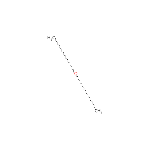 CCCCCCCCCCCCCCCCCCCC=COC=CCCCCCCCCCCCCCCCCCCC